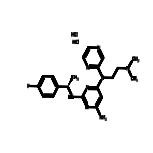 C[C@H](Nc1nc(N)cc(N(CCN(C)C)c2cnccn2)n1)c1ccc(F)cc1.Cl.Cl